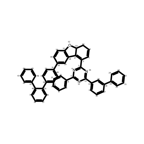 C1=CC(c2nc(-c3ccccc3)nc(-c3cccc(-c4ccccc4)c3)n2)=C2c3cc(-c4ccc(-c5ccccc5-c5ccccc5)cc4)ccc3OC2C1